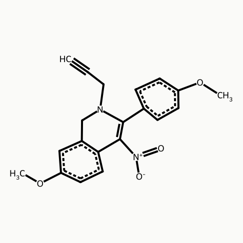 C#CCN1Cc2cc(OC)ccc2C([N+](=O)[O-])=C1c1ccc(OC)cc1